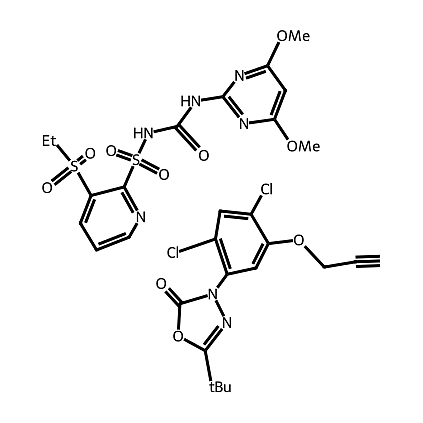 C#CCOc1cc(-n2nc(C(C)(C)C)oc2=O)c(Cl)cc1Cl.CCS(=O)(=O)c1cccnc1S(=O)(=O)NC(=O)Nc1nc(OC)cc(OC)n1